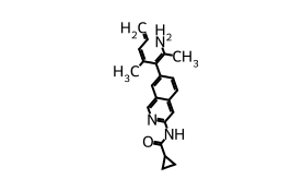 C=C/C=C(C)\C(=C(\C)N)c1ccc2cc(NC(=O)C3CC3)ncc2c1